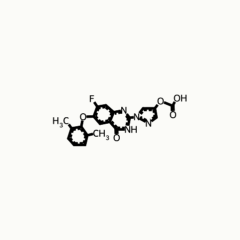 Cc1cccc(C)c1Oc1cc2c(=O)[nH]c(-n3cc(OC(=O)O)cn3)nc2cc1F